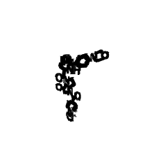 CC(C)CC(NC(=O)c1ccc(N2CCOCC2)cc1)C(=O)N1CCC2C1C(=O)CN2C(=O)c1cc[n+]([O-])cc1